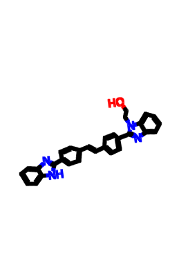 OCCn1c(-c2ccc(C=Cc3ccc(-c4nc5ccccc5[nH]4)cc3)cc2)nc2ccccc21